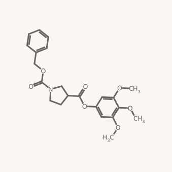 COc1cc(OC(=O)C2CCN(C(=O)OCc3ccccc3)C2)cc(OC)c1OC